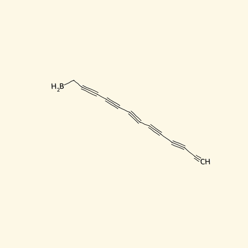 BCC#CC#CC#CC#CC#CC#C